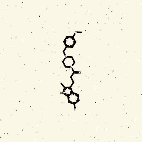 COc1ccc(CN2CCN(C(=O)CCc3c(C)[nH]c4cc(F)ccc34)CC2)cc1